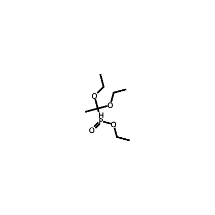 CCO[PH](=O)C(C)(OCC)OCC